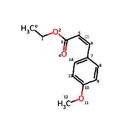 CCOC(=O)/C=C\c1ccc(OC)cc1